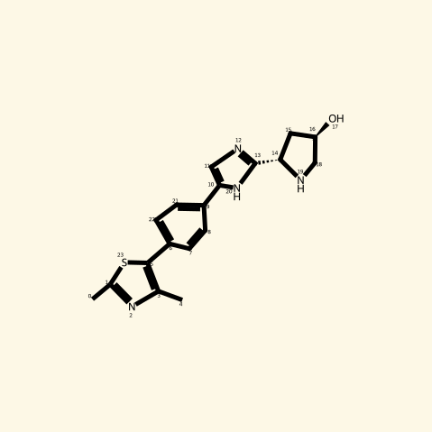 Cc1nc(C)c(-c2ccc(-c3cnc([C@@H]4C[C@@H](O)CN4)[nH]3)cc2)s1